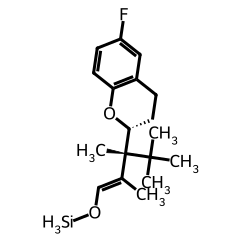 CC(=CO[SiH3])[C@](C)([C@H]1CCc2cc(F)ccc2O1)C(C)(C)C